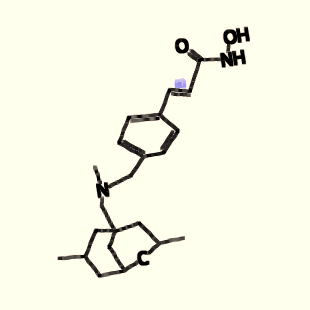 CC1CC2CC(C)CC(CN(C)Cc3ccc(/C=C/C(=O)NO)cc3)(C1)C2